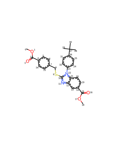 COC(=O)c1ccc(CSc2nc3cc(C(=O)OC)ccc3n2-c2ccc(C(C)(C)C)cc2)cc1